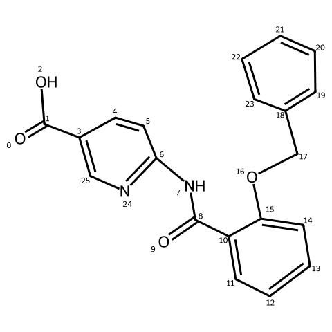 O=C(O)c1ccc(NC(=O)c2ccccc2OCc2ccccc2)nc1